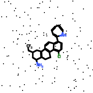 NC1CC(CC(F)(F)F)CC2=C1CCc1c2ccc2c(C3=CC=CC=CN3)ccc(Cl)c12